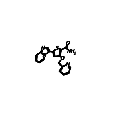 NC(=O)c1sc(-c2cnc3ccccn23)cc1OCc1ccccn1